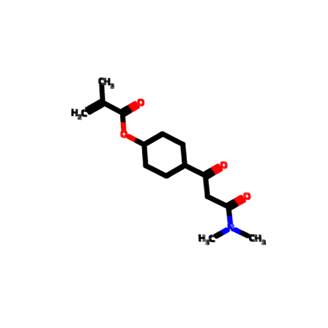 C=C(C)C(=O)OC1CCC(C(=O)CC(=O)N(C)C)CC1